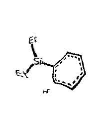 CC[Si](CC)c1ccccc1.F